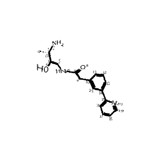 C[C@H](N)C(O)CNC(=O)Cc1cccc(-c2ccccn2)c1